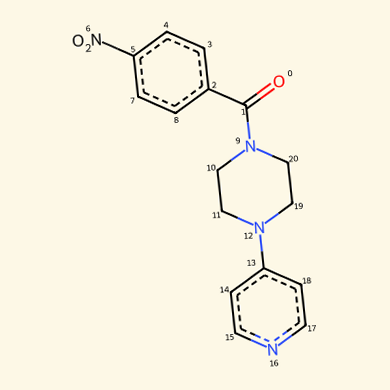 O=C(c1ccc([N+](=O)[O-])cc1)N1CCN(c2ccncc2)CC1